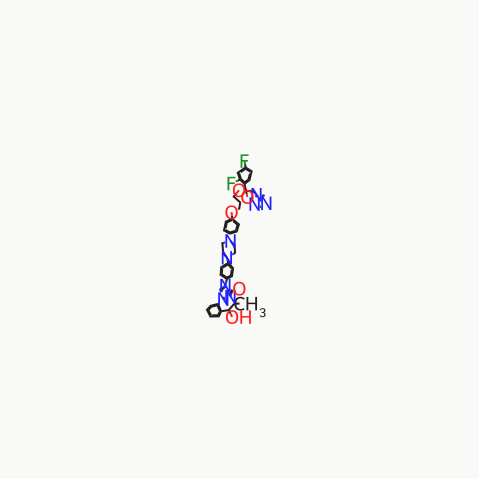 CC(C(O)c1ccccc1)n1ncn(-c2ccc(N3CCN(c4ccc(OCC5COC(Cn6cncn6)(c6ccc(F)cc6F)O5)cc4)CC3)cc2)c1=O